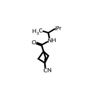 CC(C)C(C)NC(=O)C12CC(C#N)(C1)C2